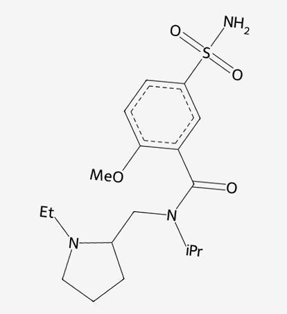 CCN1CCCC1CN(C(=O)c1cc(S(N)(=O)=O)ccc1OC)C(C)C